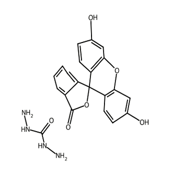 NNC(=O)NN.O=C1OC2(c3ccc(O)cc3Oc3cc(O)ccc32)c2ccccc21